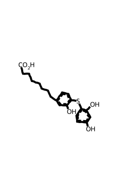 O=C(O)CCCCCCCc1ccc(Sc2ccc(O)cc2O)c(O)c1